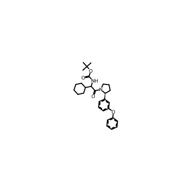 CC(C)(C)OC(=O)NC(C(=O)N1CCC[C@H]1c1cccc(Oc2ccccc2)c1)C1CCCCC1